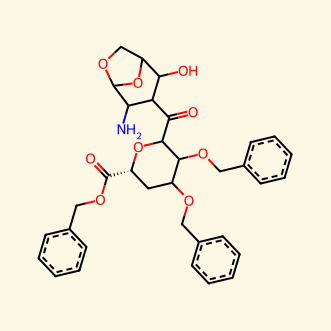 NC1C2OCC(O2)C(O)C1C(=O)C1O[C@@H](C(=O)OCc2ccccc2)CC(OCc2ccccc2)C1OCc1ccccc1